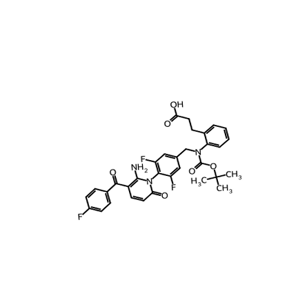 CC(C)(C)OC(=O)N(Cc1cc(F)c(-n2c(N)c(C(=O)c3ccc(F)cc3)ccc2=O)c(F)c1)c1ccccc1CCC(=O)O